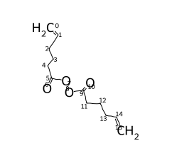 C=CCCCC(=O)OOC(=O)CCCC=C